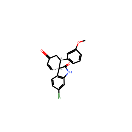 COc1cccc([C@@H]2CC(=O)C=C[C@@]23C(=O)Nc2cc(Cl)ccc23)c1